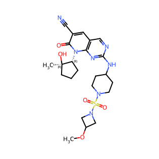 COC1CN(S(=O)(=O)N2CCC(Nc3ncc4cc(C#N)c(=O)n([C@@H]5CCC[C@@]5(C)O)c4n3)CC2)C1